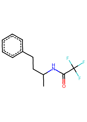 CC(CCc1ccccc1)NC(=O)C(F)(F)F